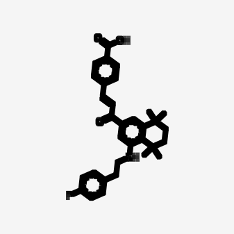 CC1(C)CCC(C)(C)c2c(NCCc3ccc(F)cc3)cc(C(=O)C=Cc3ccc(C(=O)O)cc3)cc21